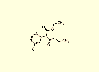 CCOC(=O)C(C(=O)OCC)c1cc(Cl)ncn1